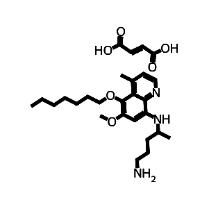 CCCCCCCOc1c(OC)cc(NC(C)CCCN)c2nccc(C)c12.O=C(O)C=CC(=O)O